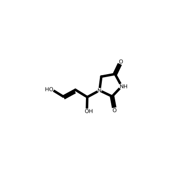 O=C1CN(C(O)/C=C/O)C(=O)N1